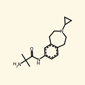 CC(C)(N)C(=O)Nc1ccc2c(c1)CCN(C1CC1)CC2